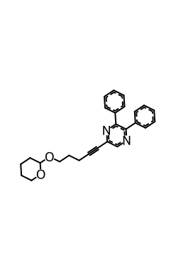 C(#Cc1cnc(-c2ccccc2)c(-c2ccccc2)n1)CCCOC1CCCCO1